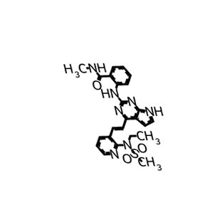 CCN(c1ncccc1C=Cc1nc(Nc2ccccc2C(=O)NC)nc2[nH]ccc12)S(C)(=O)=O